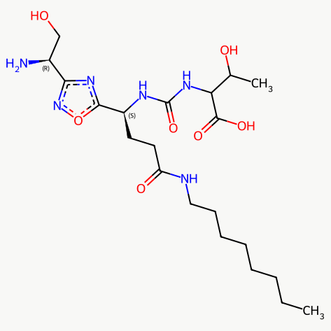 CCCCCCCCNC(=O)CC[C@H](NC(=O)NC(C(=O)O)C(C)O)c1nc([C@@H](N)CO)no1